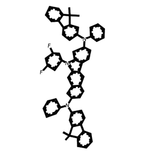 CC1(C)c2ccccc2-c2ccc(N(c3ccccc3)c3ccc4cc5c6ccc(N(c7ccccc7)c7ccc8c(c7)C(C)(C)c7ccccc7-8)cc6n(-c6cc(F)cc(F)c6)c5cc4c3)cc21